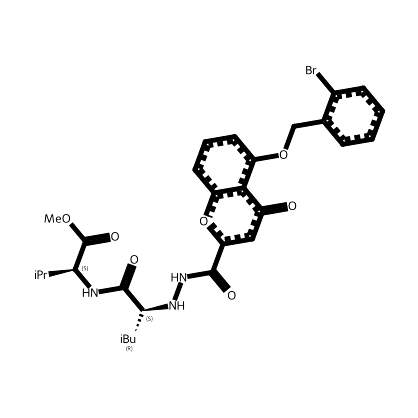 CC[C@@H](C)[C@H](NNC(=O)c1cc(=O)c2c(OCc3ccccc3Br)cccc2o1)C(=O)N[C@H](C(=O)OC)C(C)C